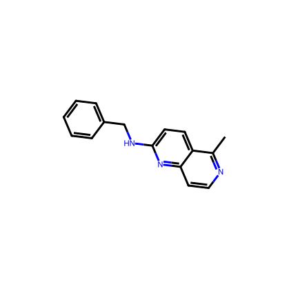 Cc1nccc2nc(NCc3ccccc3)ccc12